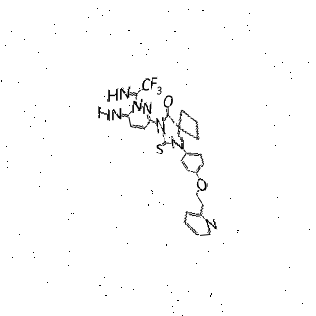 N=C(n1nc(N2C(=O)C3(CCC3)N(c3ccc(OCCc4ccccn4)cc3)C2=S)ccc1=N)C(F)(F)F